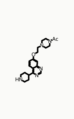 CC(=O)N1CCN(CCOc2ccc3c(C4CCNCC4)ncnc3c2)CC1